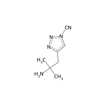 CC(C)(N)Cc1cn(C#N)nn1